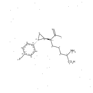 C=C(C)N(CCCC(N)C(=O)O)[C@@H]1C[C@H]1c1ccc(F)cc1